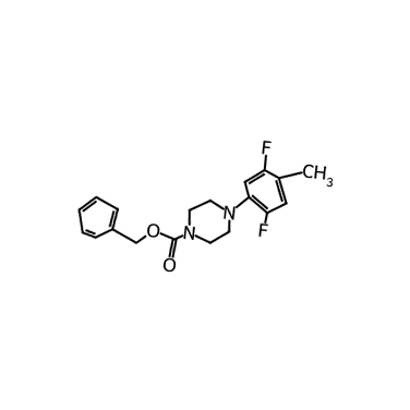 Cc1cc(F)c(N2CCN(C(=O)OCc3ccccc3)CC2)cc1F